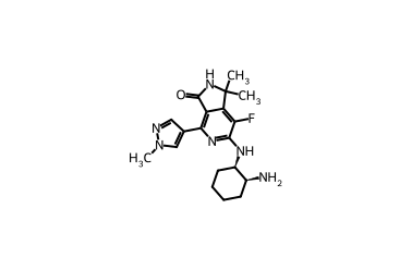 Cn1cc(-c2nc(N[C@@H]3CCCC[C@@H]3N)c(F)c3c2C(=O)NC3(C)C)cn1